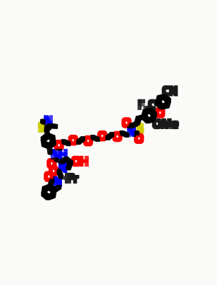 COc1cc(/C=C2\SC(=O)N(CCOCCOCCOCCOCCOc3cc(-c4scnc4C)ccc3CNC(=O)[C@@H]3C[C@@H](O)CN3C(=O)[C@H](C(C)C)N3Cc4ccccc4C3=O)C2=O)ccc1Oc1ccc(C#N)cc1C(F)(F)F